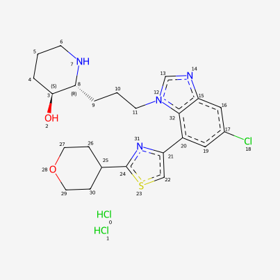 Cl.Cl.O[C@H]1CCCN[C@@H]1CCCn1cnc2cc(Cl)cc(-c3csc(C4CCOCC4)n3)c21